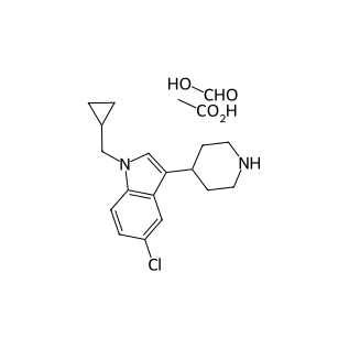 CC(=O)O.Clc1ccc2c(c1)c(C1CCNCC1)cn2CC1CC1.O=CO